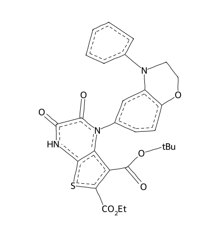 CCOC(=O)c1sc2[nH]c(=O)c(=O)n(-c3ccc4c(c3)N(c3ccccc3)CCO4)c2c1C(=O)OC(C)(C)C